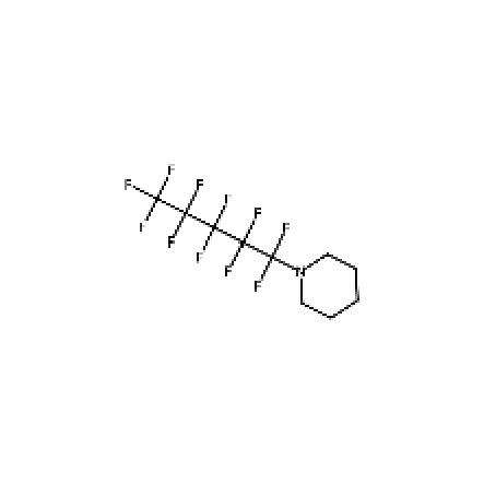 FC(F)(F)C(F)(F)C(F)(F)C(F)(F)C(F)(F)N1CCCCC1